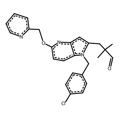 CC(C)(C=O)Cc1cc2nc(OCc3ccccn3)ccc2n1Cc1ccc(Cl)cc1